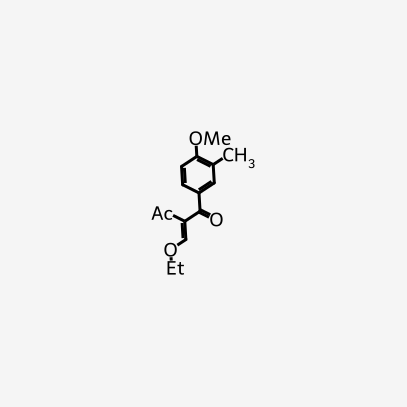 CCO/C=C(\C(C)=O)C(=O)c1ccc(OC)c(C)c1